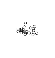 C1=CCCC(C2N=C(C3CCCc4c3oc3c4C=C(C4=CCCC5=C4c4cc6c(cc4C54CCCCC4)C4=CCCC=C4C64CCCCC4)CC3)N=C(C3=CCC(c4ccccc4)C=C3)N2)=C1